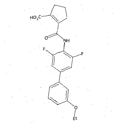 CCOc1cccc(-c2cc(F)c(NC(=O)C3=C(C(=O)O)CCC3)c(F)c2)c1